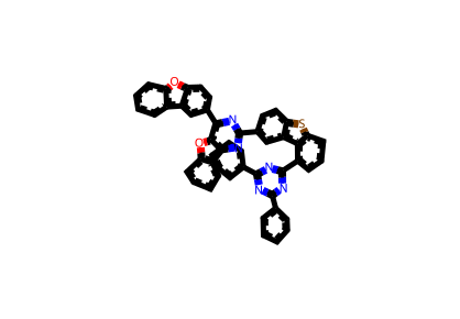 c1ccc(-c2nc(-c3ccccc3)nc(-c3cccc4sc5ccc(-c6nc(-c7ccc8oc9ccccc9c8c7)c7oc8ccccc8c7n6)cc5c34)n2)cc1